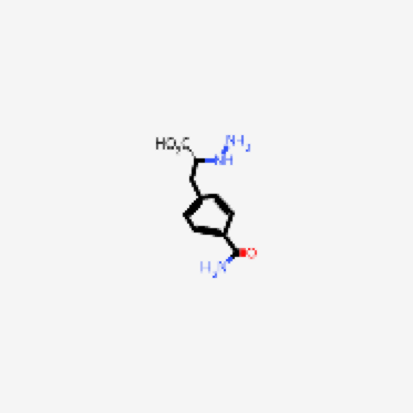 NN[C@H](Cc1ccc(C(N)=O)cc1)C(=O)O